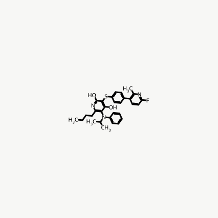 CCCCc1nc(O)c(Sc2ccc(-c3ccc(F)nc3C)cc2)c(O)c1N(c1ccccc1)C(C)C